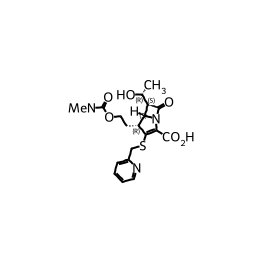 CNC(=O)OCC[C@H]1C(SCc2ccccn2)=C(C(=O)O)N2C(=O)[C@H]([C@@H](C)O)[C@@H]12